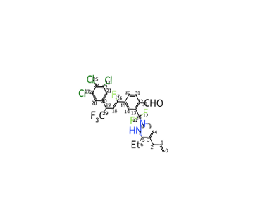 C=CCC(=C)C(CC)NN(C)C(F)(F)c1cc(/C(F)=C/C(c2cc(Cl)c(Cl)c(Cl)c2)C(F)(F)F)ccc1C=O